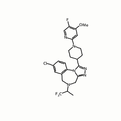 COc1cc(N2CCC(c3nnc4n3-c3ccc(Cl)cc3CN(C(C)C(F)(F)F)C4)CC2)ncc1F